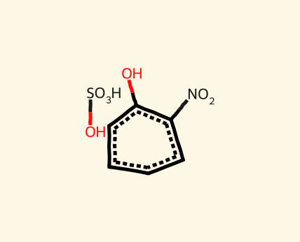 O=S(=O)(O)O.O=[N+]([O-])c1ccccc1O